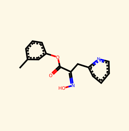 Cc1cccc(OC(=O)/C(Cc2ccccn2)=N\O)c1